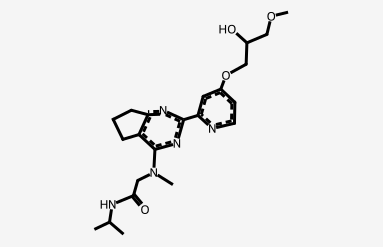 COCC(O)COc1ccnc(-c2nc3c(c(N(C)CC(=O)NC(C)C)n2)CCC3)c1